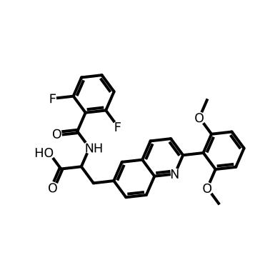 COc1cccc(OC)c1-c1ccc2cc(CC(NC(=O)c3c(F)cccc3F)C(=O)O)ccc2n1